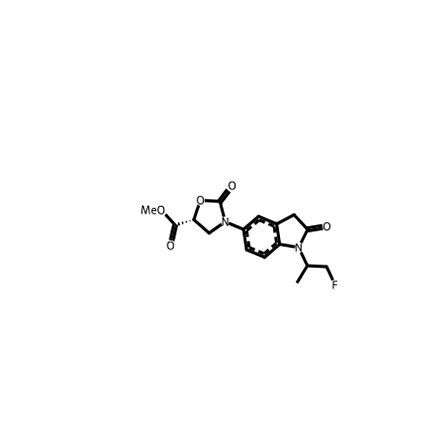 COC(=O)[C@H]1CN(c2ccc3c(c2)CC(=O)N3C(C)CF)C(=O)O1